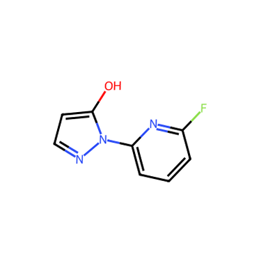 Oc1ccnn1-c1cccc(F)n1